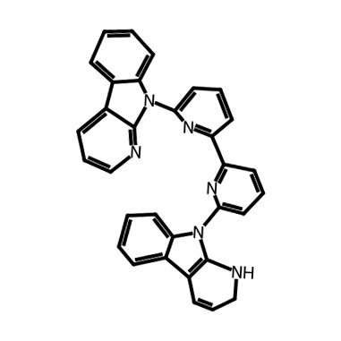 C1=Cc2c(n(-c3cccc(-c4cccc(-n5c6ccccc6c6cccnc65)n4)n3)c3ccccc23)NC1